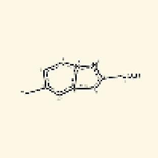 Cc1ccn2nc(C(=O)O)cc2c1